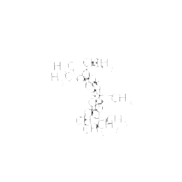 CCCCCCn1c(-c2scc3c2OCC(COCC(CC)CCCC)(COCC(CC)CCCC)CO3)ccc1-c1scc2c1OCC(COCC(CC)CCCC)(COCC(CC)CCCC)CO2